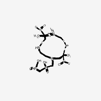 CC1([N+](=O)[O-])CNCCNCC(C)([N+](=O)[O-])CN(CP(=O)(O)C[PH](=O)O)CCNC1